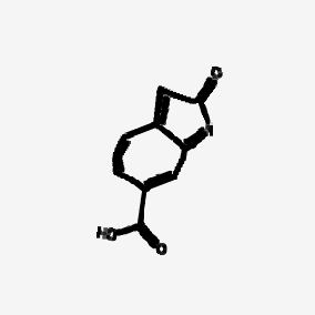 O=C1C=c2ccc(C(=O)O)cc2=N1